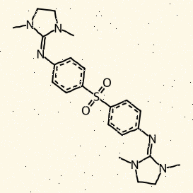 CN1CCN(C)C1=Nc1ccc(S(=O)(=O)c2ccc(N=C3N(C)CCN3C)cc2)cc1